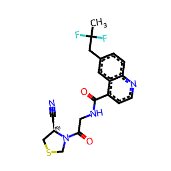 CC(F)(F)Cc1ccc2nccc(C(=O)NCC(=O)N3CSC[C@H]3C#N)c2c1